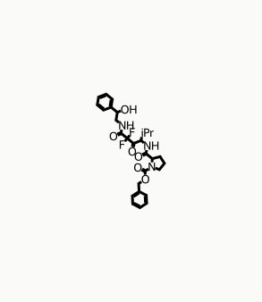 CC(C)C(NC(=O)C1CCCN1C(=O)OCc1ccccc1)C(=O)C(F)(F)C(=O)NCC(O)c1ccccc1